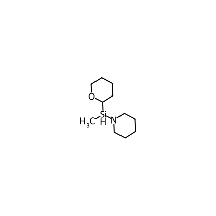 C[SiH](C1CCCCO1)N1CCCCC1